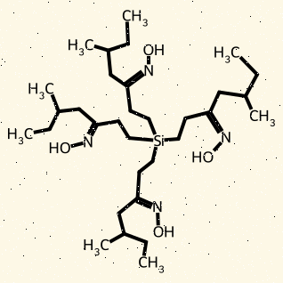 CCC(C)CC(CC[Si](CCC(CC(C)CC)=NO)(CCC(CC(C)CC)=NO)CCC(CC(C)CC)=NO)=NO